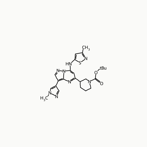 Cc1cc(Nc2cc(C3CCCN(C(=O)OC(C)(C)C)C3)nc3c(-c4cnn(C)c4)cnn23)sn1